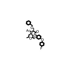 CC(=O)N([C@@H](COCc1ccccc1)C(=O)Nc1ccc(Oc2ccc(F)cc2)cc1)N1CC(C)OC(C)C1